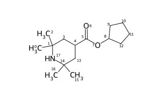 CC1(C)CC(C(=O)OC2CCCC2)CC(C)(C)N1